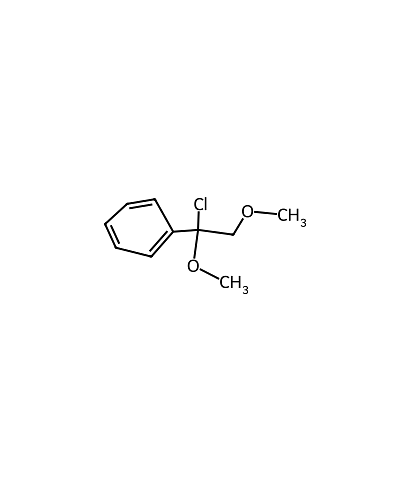 COCC(Cl)(OC)c1ccccc1